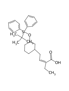 CCC(=CCC1CCCC(O[Si](c2ccccc2)(c2ccccc2)C(C)(C)C)C1)C(=O)O